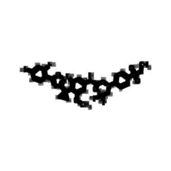 CCS(=O)(=O)c1ccc(N(CC(=O)Nc2cc(F)c(C3(c4noc(-c5ccc(F)cc5F)n4)CC3)c(OC)c2)CC(F)(F)F)cc1